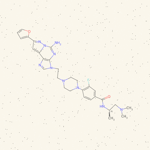 C[C@H](CN(C)C)NC(=O)c1ccc(N2CCN(CCn3cnc4c3nc(N)n3nc(-c5ccco5)cc43)CC2)c(F)c1